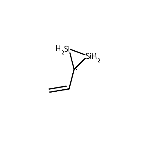 C=C[C]1[SiH2][SiH2]1